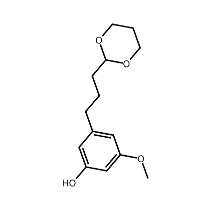 COc1cc(O)cc(CCCC2OCCCO2)c1